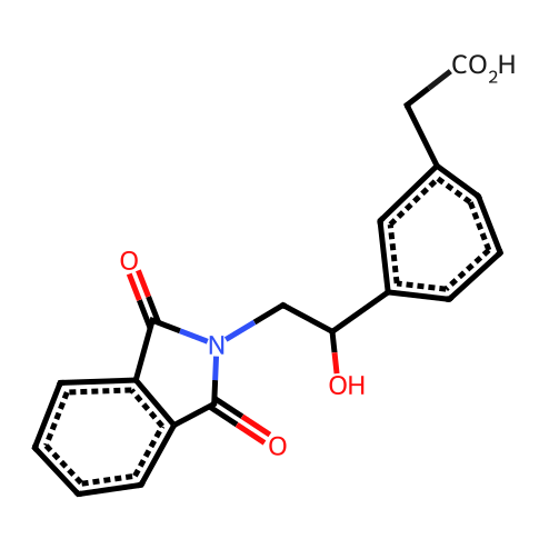 O=C(O)Cc1cccc(C(O)CN2C(=O)c3ccccc3C2=O)c1